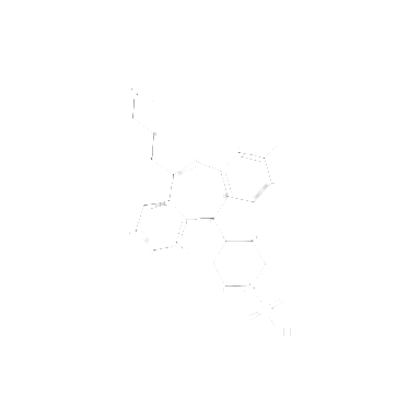 CS(=O)(=O)N1CCC(C2c3ccc(Cl)cc3C=C(CCCN)c3cccnc32)CC1